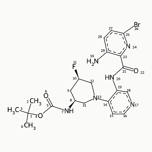 CC(C)(C)OC(=O)N[C@H]1C[C@@H](F)CN(c2ccncc2NC(=O)c2nc(Br)ccc2N)C1